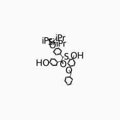 CC(C)[Si](Oc1ccc(C(Sc2cc(OCc3ccccc3)ccc2O)C(=O)c2ccc(O)cc2)cc1)(C(C)C)C(C)C